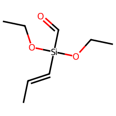 C/C=C/[Si](C=O)(OCC)OCC